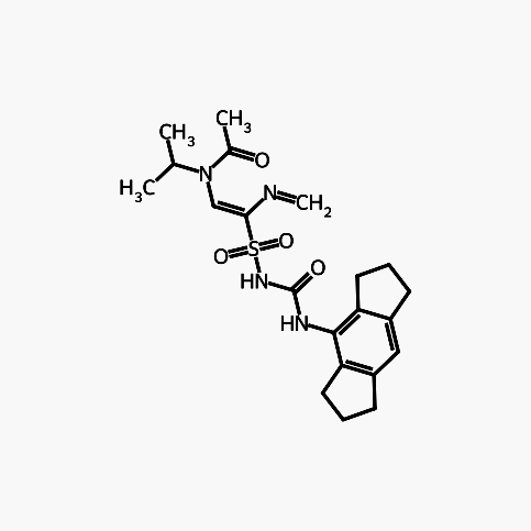 C=N/C(=C\N(C(C)=O)C(C)C)S(=O)(=O)NC(=O)Nc1c2c(cc3c1CCC3)CCC2